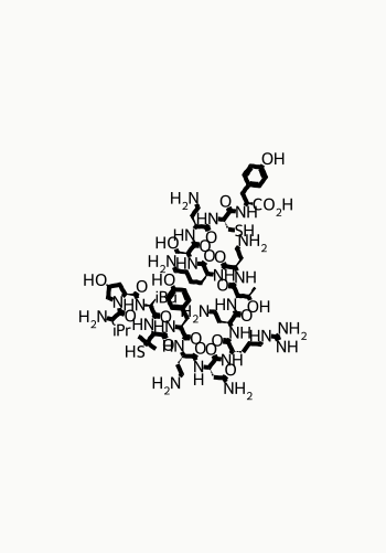 CC[C@H](C)[C@H](NC(=O)[C@@H]1C[C@@H](O)CN1C(=O)[C@@H](N)C(C)C)C(=O)N[C@H](C(=O)N[C@@H](Cc1ccc(O)cc1)C(=O)N[C@@H](CCN)C(=O)N[C@@H](CC(N)=O)C(=O)N[C@@H](CCCNC(=N)N)C(=O)N[C@@H](CCN)C(=O)N[C@H](C(=O)N[C@H](CCN)C(=O)N[C@@H](CCCCN)C(=O)N[C@@H](CO)C(=O)N[C@@H](CCN)C(=O)N[C@@H](CS)C(=O)N[C@@H](Cc1ccc(O)cc1)C(=O)O)[C@@H](C)O)C(C)(C)S